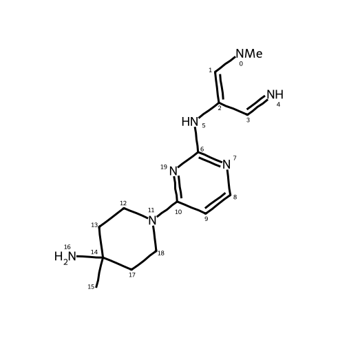 CN/C=C(\C=N)Nc1nccc(N2CCC(C)(N)CC2)n1